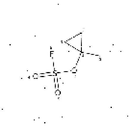 CC1(OS(=O)(=O)F)CC1